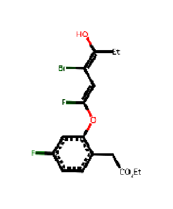 CCOC(=O)Cc1ccc(F)cc1O/C(F)=C/C(Br)=C(/O)CC